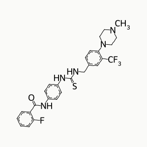 CN1CCN(c2ccc(CNC(=S)Nc3ccc(NC(=O)c4ccccc4F)cc3)cc2C(F)(F)F)CC1